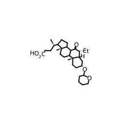 CC[C@H]1C(=O)C2C3CCC([C@H](C)CCC(=O)O)[C@@]3(C)CCC2[C@@]2(C)CC[C@@H](OC3CCCCO3)C[C@@H]12